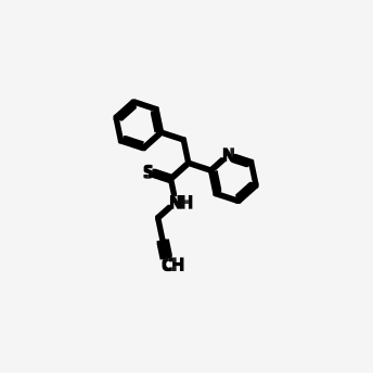 C#CCNC(=S)C(Cc1ccccc1)c1ccccn1